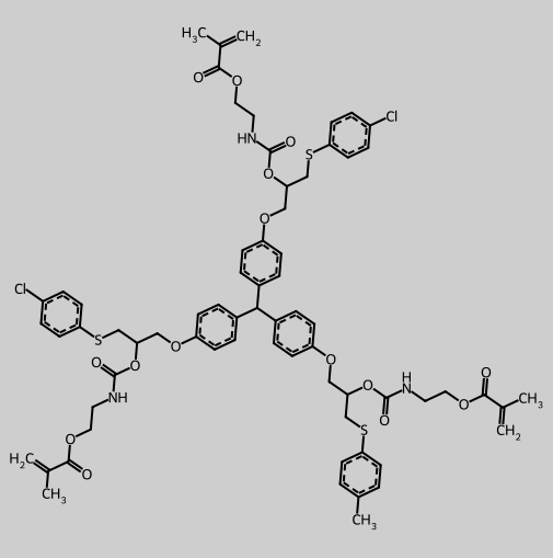 C=C(C)C(=O)OCCNC(=O)OC(COc1ccc(C(c2ccc(OCC(CSc3ccc(Cl)cc3)OC(=O)NCCOC(=O)C(=C)C)cc2)c2ccc(OCC(CSc3ccc(Cl)cc3)OC(=O)NCCOC(=O)C(=C)C)cc2)cc1)CSc1ccc(C)cc1